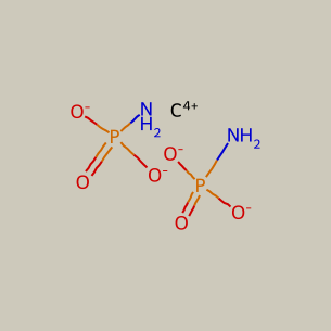 NP(=O)([O-])[O-].NP(=O)([O-])[O-].[C+4]